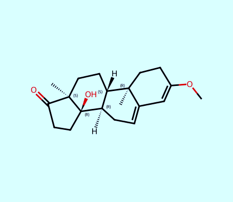 COC1=CC2=CC[C@@H]3[C@H](CC[C@]4(C)C(=O)CC[C@@]34O)[C@@]2(C)CC1